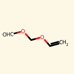 C=COCO[C]=O